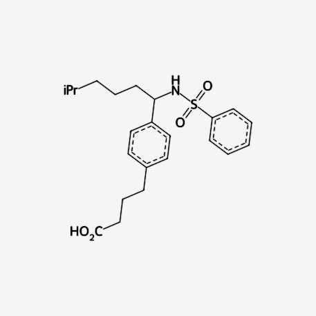 CC(C)CCCC(NS(=O)(=O)c1ccccc1)c1ccc(CCCC(=O)O)cc1